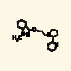 Cn1nc(OCCCN2CCCC2c2ccccn2)c2ccccc21